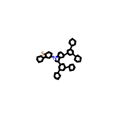 c1ccc(-c2cc(-c3ccccc3)cc(-c3ccc4c(c3)c(-c3cc(-c5ccccc5)cc(-c5ccccc5)c3)cn4-c3ccc4sc5ccccc5c4c3)c2)cc1